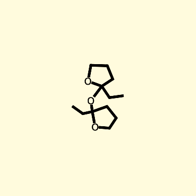 CCC1(OC2(CC)CCCO2)CCCO1